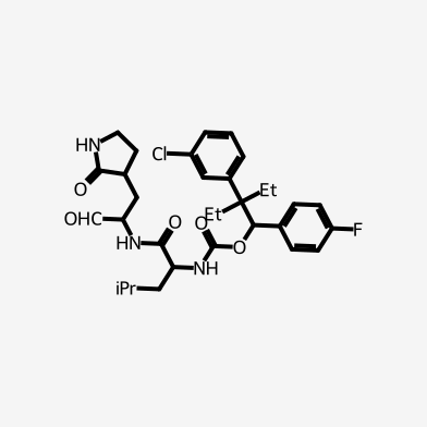 CCC(CC)(c1cccc(Cl)c1)C(OC(=O)NC(CC(C)C)C(=O)NC(C=O)CC1CCNC1=O)c1ccc(F)cc1